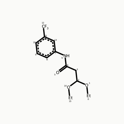 CCOC(CC(=O)Nc1cccc(C(F)(F)F)c1)OCC